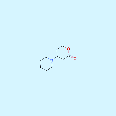 O=C1CC(N2CCCCC2)CCO1